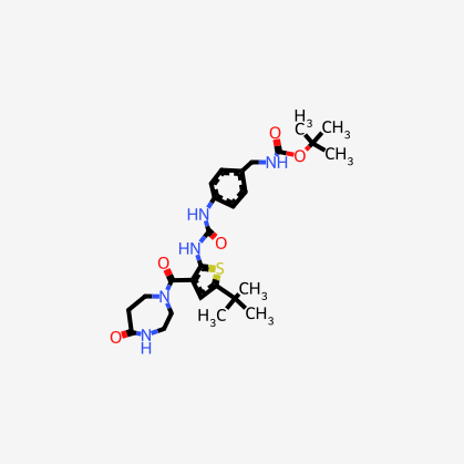 CC(C)(C)OC(=O)NCc1ccc(NC(=O)Nc2sc(C(C)(C)C)cc2C(=O)N2CCNC(=O)CC2)cc1